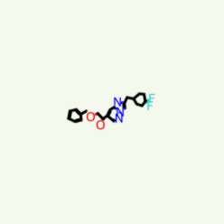 O=C(COCc1ccccc1)c1cnn2cc(CC3CCC(F)(F)CC3)nc2c1